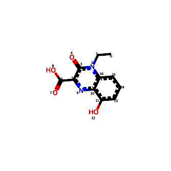 CCn1c(=O)c(C(=O)O)nc2c(O)cccc21